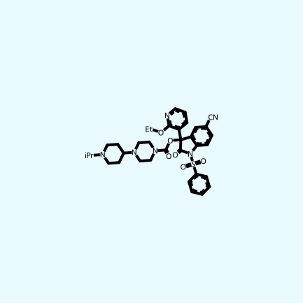 CCOc1ncccc1C1(OC(=O)N2CCN(C3CCN(C(C)C)CC3)CC2)C(=O)N(S(=O)(=O)c2ccccc2)c2ccc(C#N)cc21